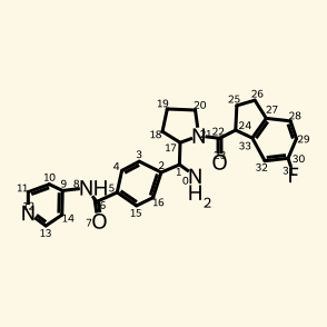 NC(c1ccc(C(=O)Nc2ccncc2)cc1)C1CCCN1C(=O)C1CCc2ccc(F)cc21